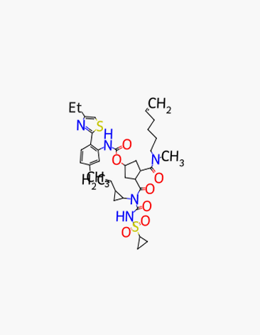 C=CCCCCN(C)C(=O)C1CC(OC(=O)Nc2cc(C)ccc2-c2nc(CC)cs2)CC1C(=O)N(C(=O)NS(=O)(=O)C1CC1)C1CC1C=C